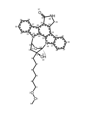 COOCCCCCC[C@]1(O)CC2O[C@@]1(C)n1c3ccccc3c3c4c(c5c6ccccc6n2c5c31)C(=O)NC4